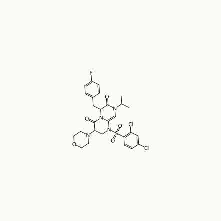 CC(C)N1C=C2N(C(=O)C(N3CCOCC3)CN2S(=O)(=O)c2ccc(Cl)cc2Cl)C(Cc2ccc(F)cc2)C1=O